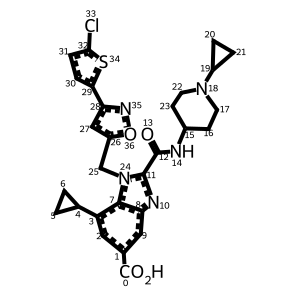 O=C(O)c1cc(C2CC2)c2c(c1)nc(C(=O)NC1CCN(C3CC3)CC1)n2Cc1cc(-c2ccc(Cl)s2)no1